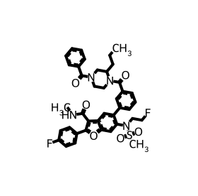 CCCC1CN(C(=O)c2ccccc2)CCN1C(=O)c1cccc(-c2cc3c(C(=O)NC)c(-c4ccc(F)cc4)oc3cc2N(CCF)S(C)(=O)=O)c1